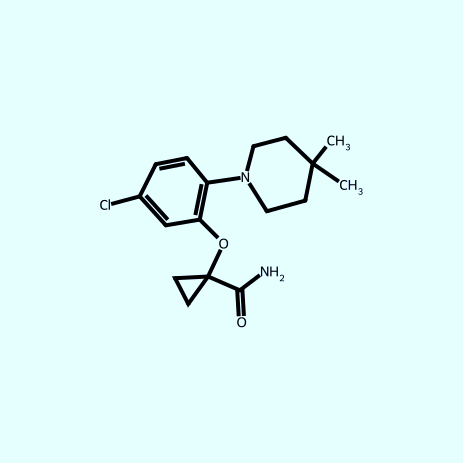 CC1(C)CCN(c2ccc(Cl)cc2OC2(C(N)=O)CC2)CC1